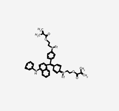 C=C(C)C(=O)OCCN(CC)c1ccc(C(=C2C=CC(=[N+](CC)CCOC(=O)C(=C)C)C=C2)c2ccc(Nc3ccccc3)c3ccccc23)cc1